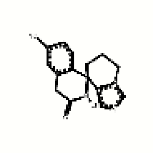 CN1C(=O)Cc2cc(C#N)ccc2C12CCCn1cncc12